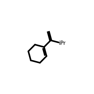 C=C(C1=CCCCC1)C(C)C